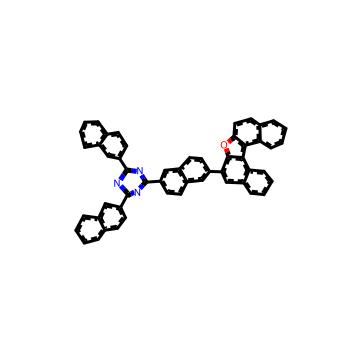 c1ccc2cc(-c3nc(-c4ccc5ccccc5c4)nc(-c4ccc5cc(-c6cc7ccccc7c7c6oc6ccc8ccccc8c67)ccc5c4)n3)ccc2c1